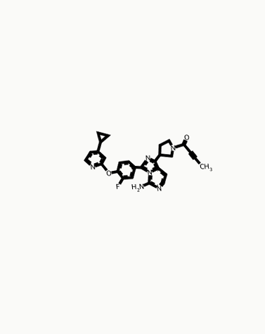 CC#CC(=O)N1CCC(c2nc(-c3ccc(Oc4cc(C5CC5)ccn4)c(F)c3)n3c(N)nccc23)C1